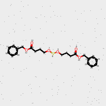 O=C(CCCOSOCCCC(=O)OCc1ccccc1)OCc1ccccc1